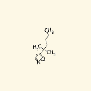 CCCCC(C)(C)c1ccno1